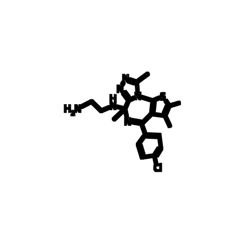 Cc1sc2c(c1C)C(c1ccc(Cl)cc1)=NC(C)(NCCN)c1nnc(C)n1-2